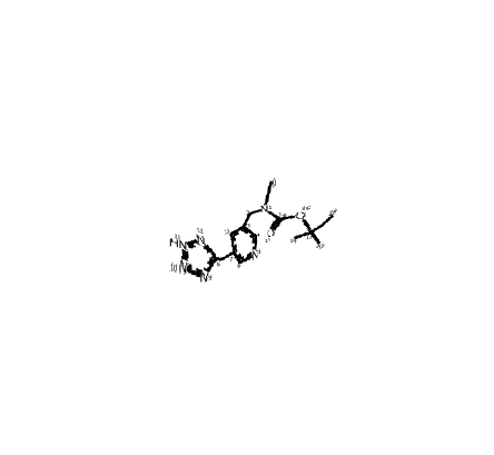 CN(Cc1cncc(-c2nn[nH]n2)c1)C(=O)OC(C)(C)C